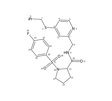 CC(C)CSc1ccnc(CNC(=O)C2CCCN2S(=O)(=O)c2ccc(F)cc2)c1